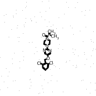 CN(C)C(=O)N1CCN(c2ncc(OCc3c(Cl)cccc3Cl)cn2)CC1